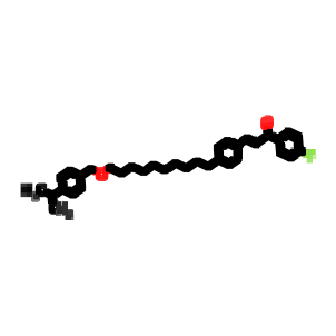 C=C(C)c1ccc(COCCCCCCCCCCc2ccc(/C=C/C(=O)c3ccc(F)cc3)cc2)cc1